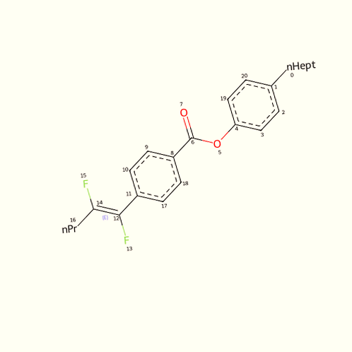 CCCCCCCc1ccc(OC(=O)c2ccc(/C(F)=C(\F)CCC)cc2)cc1